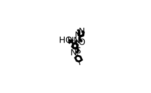 Cc1nccc(C(=O)Nc2cc3sc([C@H]4CC[C@H](C)CC4)nc3cc2C(C)(C)O)n1